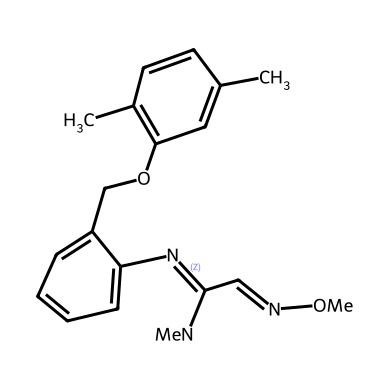 CN/C(C=NOC)=N\c1ccccc1COc1cc(C)ccc1C